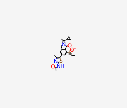 CC[S@+]([O-])c1cc(-c2sc(NC(C)=O)nc2C)cc2c1C(=O)N([C@@H](C)C1CC1)C2